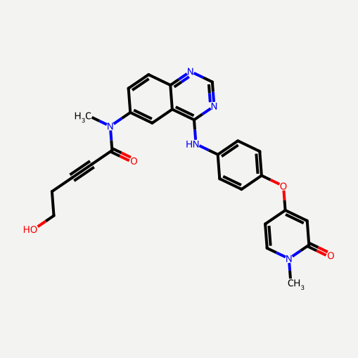 CN(C(=O)C#CCCO)c1ccc2ncnc(Nc3ccc(Oc4ccn(C)c(=O)c4)cc3)c2c1